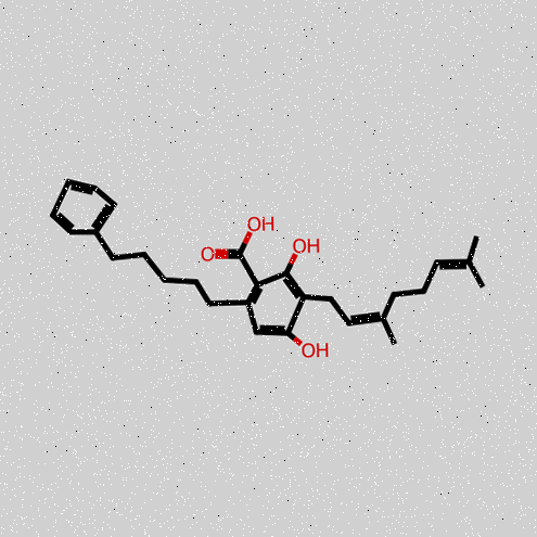 CC(C)=CCCC(C)=CCc1c(O)cc(CCCCCc2ccccc2)c(C(=O)O)c1O